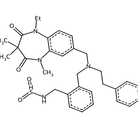 CCN1C(=O)C(C)(C)C(=O)N(C)c2cc(CN(CCc3cccnc3)Cc3ccccc3CN[SH](=O)=O)ccc21